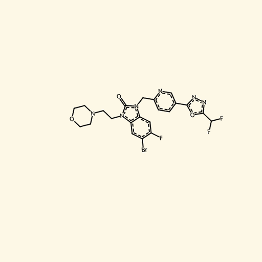 O=c1n(CCN2CCOCC2)c2cc(Br)c(F)cc2n1Cc1ccc(-c2nnc(C(F)F)o2)cn1